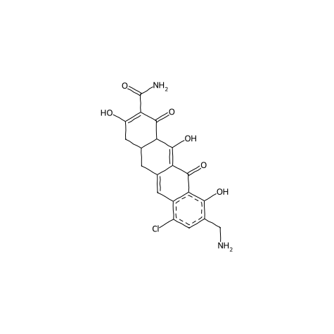 NCc1cc(Cl)c2c(c1O)C(=O)C1=C(O)C3C(=O)C(C(N)=O)=C(O)CC3CC1=C2